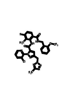 Cc1c(F)ccc(C(=O)NCc2ccccc2OC(F)(F)F)c1NC(=O)c1cc(Cn2nnc(C(F)(F)F)n2)nn1-c1ncccc1Cl